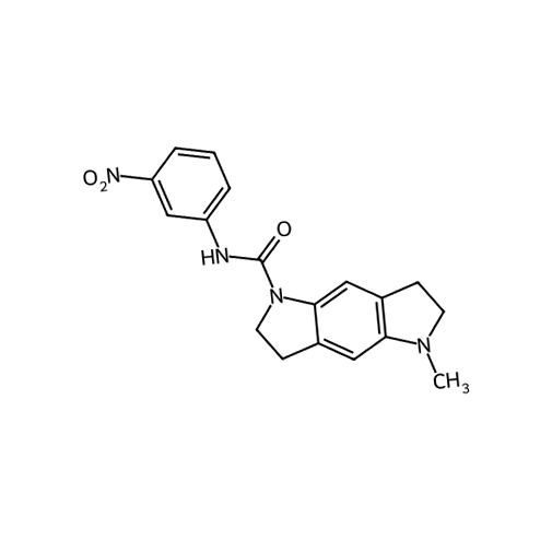 CN1CCc2cc3c(cc21)CCN3C(=O)Nc1cccc([N+](=O)[O-])c1